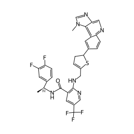 C[C@H](NC(=O)c1cc(C(F)(F)F)cnc1NCC1=CCC(c2ccc3ncc4ncn(C)c4c3c2)S1)c1ccc(F)c(F)c1